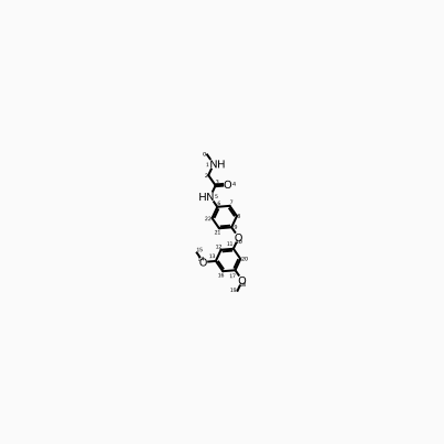 CNCC(=O)Nc1ccc(Oc2cc(OC)cc(OC)c2)cc1